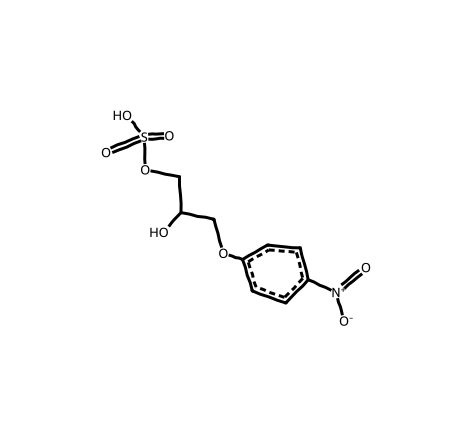 O=[N+]([O-])c1ccc(OCC(O)COS(=O)(=O)O)cc1